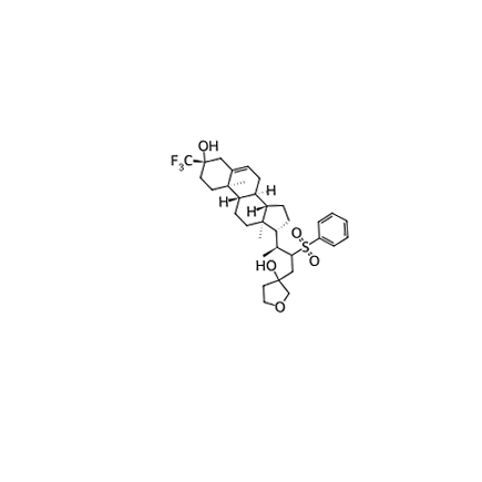 C[C@H](C(CC1(O)CCOC1)S(=O)(=O)c1ccccc1)[C@H]1CC[C@H]2[C@@H]3CC=C4C[C@](O)(C(F)(F)F)CC[C@]4(C)[C@H]3CC[C@]12C